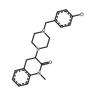 CN1C(=O)C(N2CCN(Cc3ccc(Cl)cc3)CC2)Cc2ccccc21